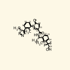 Cc1c(-c2cnnn2C)cccc1-n1nc(C(=O)N[C@H](C)c2cccc(C(F)(F)CO)c2C)ccc1=O